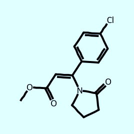 COC(=O)C=C(c1ccc(Cl)cc1)N1CCCC1=O